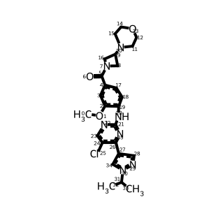 COc1cc(C(=O)N2CC(N3CCOCC3)C2)ccc1Nc1ncc(Cl)c(-c2cnn(C(C)C)c2)n1